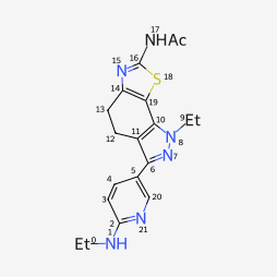 CCNc1ccc(-c2nn(CC)c3c2CCc2nc(NC(C)=O)sc2-3)cn1